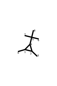 CC1C(C)C1C(C)(C)C